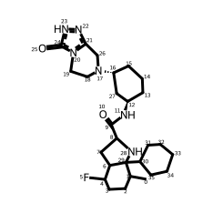 CC1CCC(F)C2CC(C(=O)N[C@@H]3CCC[C@@H](N4CCn5c(n[nH]c5=O)C4)C3)NC12C1CCCCC1